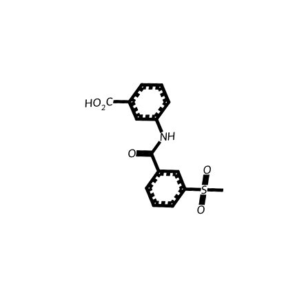 CS(=O)(=O)c1cccc(C(=O)Nc2cccc(C(=O)O)c2)c1